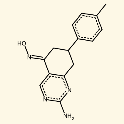 Cc1ccc(C2CC(=NO)c3cnc(N)nc3C2)cc1